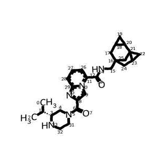 CC(C)[C@@H]1CN(C(=O)c2cn3c(C(=O)NCC45CC6CC6C6(CC6C4)C5)cccc3n2)CCN1